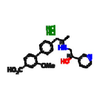 COc1cc(C(=O)O)ccc1-c1ccc(C[C@@H](C)NC[C@H](O)c2cccnc2)cc1.Cl.Cl